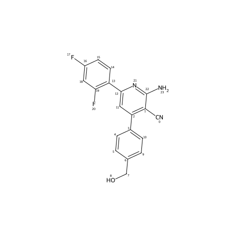 N#Cc1c(-c2ccc(CO)cc2)cc(-c2ccc(F)cc2F)nc1N